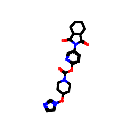 O=C(Oc1ccc(N2C(=O)C3CCCCC3C2=O)cn1)N1CCC(On2ccnc2)CC1